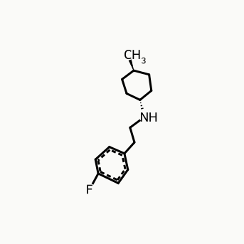 C[C@H]1CC[C@H](NCCc2ccc(F)cc2)CC1